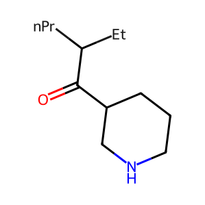 CCCC(CC)C(=O)C1CCCNC1